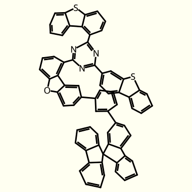 c1cc(-c2ccc3c(c2)C2(c4ccccc4-c4ccccc42)c2ccccc2-3)cc(-c2ccc3oc4cccc(-c5nc(-c6ccc7c(c6)sc6ccccc67)nc(-c6cccc7sc8ccccc8c67)n5)c4c3c2)c1